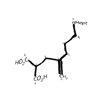 C=C(CCCCCCCCCC)CC(C(=O)O)C(=O)O